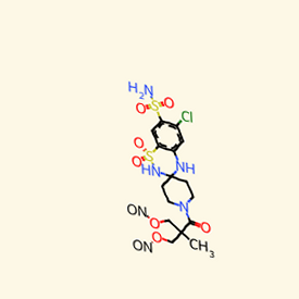 CC(CON=O)(CON=O)C(=O)N1CCC2(CC1)Nc1cc(Cl)c(S(N)(=O)=O)cc1S(=O)(=O)N2